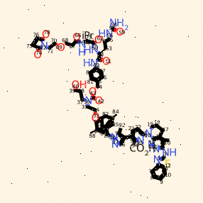 Cc1c(Nc2nc3ccccc3s2)nnc2c1CCCN2c1ccc(-c2cnn(CC34CC5(OCCN(CCCO)C(=O)OCc6ccc(NC(=O)[C@H](CCCNC(N)=O)NC(=O)[C@@H](NC(=O)CCOCCN7C(=O)C=CC7=O)C(C)C)cc6)C[C@](C)(C3)C[C@](C)(C4)C5)c2C)c(C(=O)O)n1